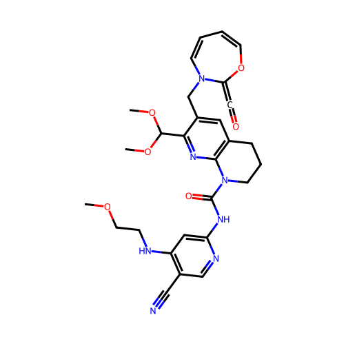 COCCNc1cc(NC(=O)N2CCCc3cc(CN4C=CC=COC4=C=O)c(C(OC)OC)nc32)ncc1C#N